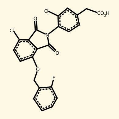 O=C(O)Cc1ccc(N2C(=O)c3c(Cl)ccc(OCc4ccccc4F)c3C2=O)c(Cl)c1